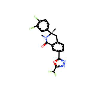 CN1C(=O)c2cc(-c3nnc(C(F)F)o3)ccc2C[C@@]1(C)c1ccc(F)c(F)c1